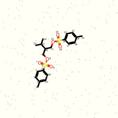 Cc1ccc(S(=O)(=O)OCC(COS(=O)(=O)c2ccc(C)cc2)C(C)C)cc1